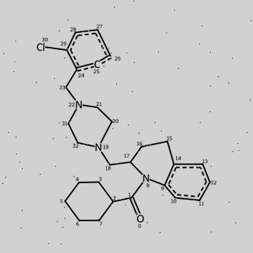 O=C(C1CCCCC1)N1c2ccccc2CCC1CN1CCN(Cc2ccccc2Cl)CC1